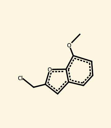 COc1cccc2cc(CCl)oc12